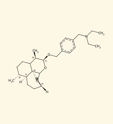 CCN(CC)Cc1ccc(CO[C@H]2OC3O[C@H]4CC[C@H]5[C@H](C)CCC([C@H]2C)[C@@]35OO4)cc1